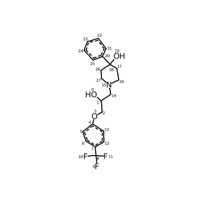 OC(COc1ccc(C(F)(F)F)cc1)CN1CCC(O)(c2ccccc2)CC1